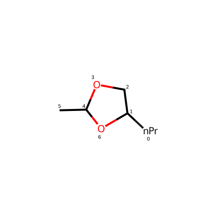 CCCC1COC(C)O1